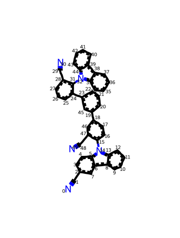 N#Cc1ccc2c(c1)c1ccccc1n2-c1ccc(-c2cccc(-c3cccc(C#N)c3-n3c4ccccc4c4ccccc43)c2)cc1C#N